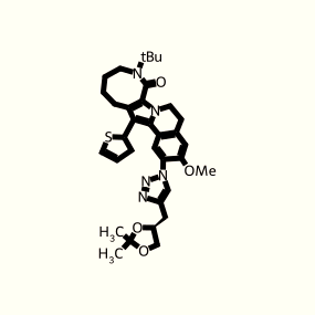 COc1cc2c(cc1-n1cc(C[C@H]3COC(C)(C)O3)nn1)-c1c(C3CC=CS3)c3c(n1CC2)C(=O)N(C(C)(C)C)CCCC3